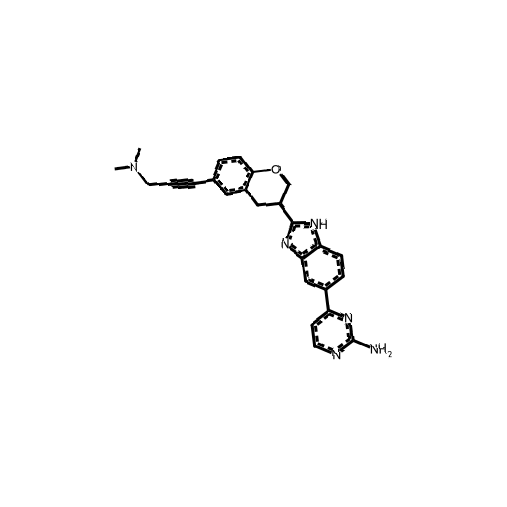 CN(C)CC#Cc1ccc2c(c1)CC(c1nc3cc(-c4ccnc(N)n4)ccc3[nH]1)CO2